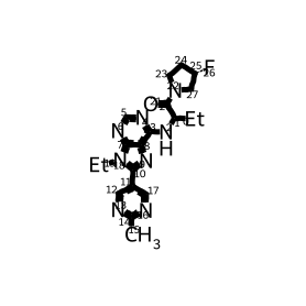 CCC(Nc1ncnc2c1nc(-c1cnc(C)nc1)n2CC)C(=O)N1CC[C@H](F)C1